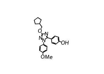 COc1ccc(-n2nc(OCC3CCCC3)nc2-c2ccc(O)cc2)cc1